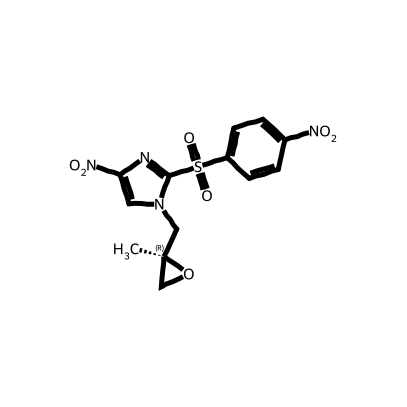 C[C@@]1(Cn2cc([N+](=O)[O-])nc2S(=O)(=O)c2ccc([N+](=O)[O-])cc2)CO1